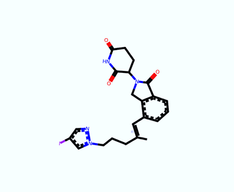 C/C(=C\c1cccc2c1CN(C1CCC(=O)NC1=O)C2=O)CCCn1cc(I)cn1